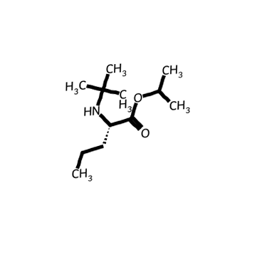 CCC[C@H](NC(C)(C)C)C(=O)OC(C)C